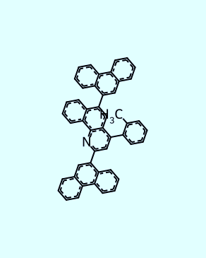 Cc1ccccc1-c1cc(-c2cc3ccccc3c3ccccc23)nc2c1cc(-c1cc3ccccc3c3ccccc13)c1ccccc12